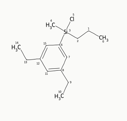 CCC[Si](C)(Cl)c1cc(CC)cc(CC)c1